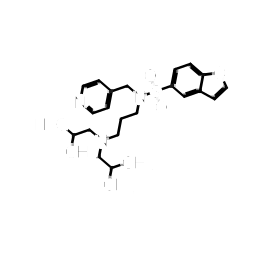 CC(C)CN(CCCN(Cc1ccncc1)S(=O)(=O)c1ccc2occc2c1)CC(C)C